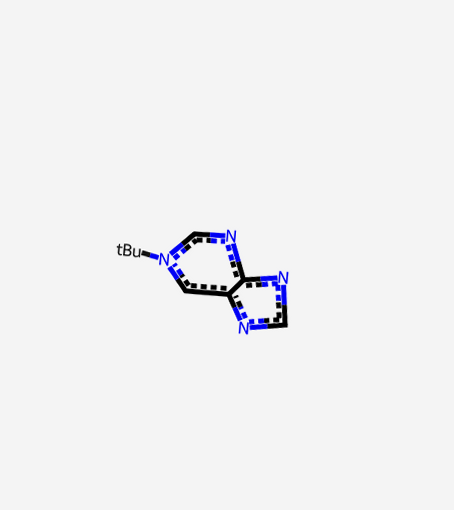 CC(C)(C)n1cnc2ncnc-2c1